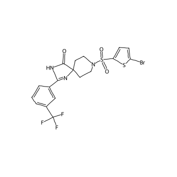 O=C1NC(c2cccc(C(F)(F)F)c2)=NC12CCN(S(=O)(=O)c1ccc(Br)s1)CC2